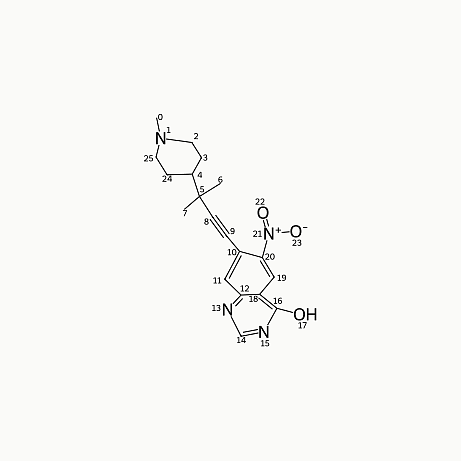 CN1CCC(C(C)(C)C#Cc2cc3ncnc(O)c3cc2[N+](=O)[O-])CC1